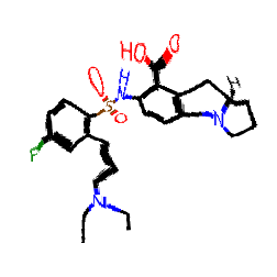 CCN(CC)C/C=C\c1cc(F)ccc1S(=O)(=O)Nc1ccc2c(c1C(=O)O)C[C@@H]1CCCN21